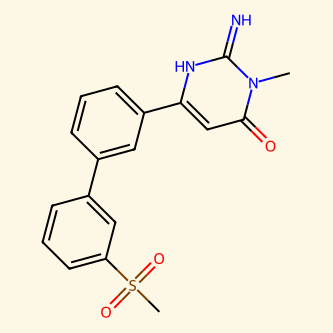 Cn1c(=O)cc(-c2cccc(-c3cccc(S(C)(=O)=O)c3)c2)[nH]c1=N